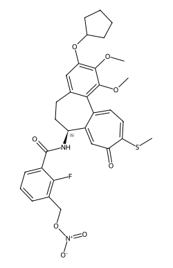 COc1c(OC2CCCC2)cc2c(c1OC)-c1ccc(SC)c(=O)cc1[C@@H](NC(=O)c1cccc(CO[N+](=O)[O-])c1F)CC2